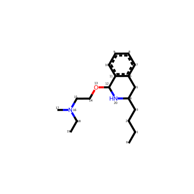 CCCCC1Cc2ccccc2C(OCCN(C)CC)N1